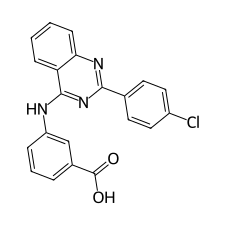 O=C(O)c1cccc(Nc2nc(-c3ccc(Cl)cc3)nc3ccccc23)c1